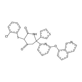 O=C1CC(c2ccsc2)(c2cccc(Oc3cccc4ccncc34)n2)NC(=O)C1Sc1ccccc1Cl